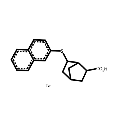 O=C(O)C1CC2CC(Sc3ccc4ccccc4c3)C1C2.[Ta]